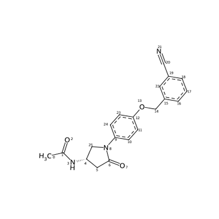 CC(=O)N[C@H]1CC(=O)N(c2ccc(OCc3cccc(C#N)c3)cc2)C1